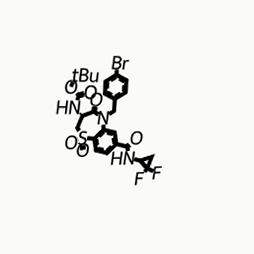 CC(C)(C)OC(=O)N[C@H]1CS(=O)(=O)c2ccc(C(=O)NC3CC3(F)F)cc2N(Cc2ccc(Br)cc2)C1=O